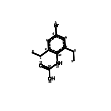 CCc1cc(Br)cc(CC)c1NC(=O)O